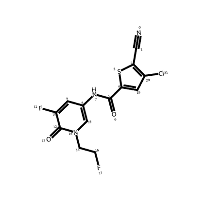 N#Cc1sc(C(=O)Nc2cc(F)c(=O)n(CCF)c2)cc1Cl